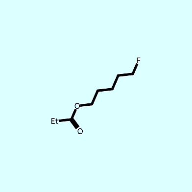 CCC(=O)OCCCCCF